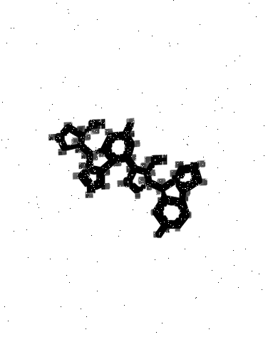 Cc1ccc2c(c1)[C@H]([C@@H]1COC(c3cc(C)cc4c3-c3cncn3[C@@H]4[C@H]3COC[C@@H]3O)[C@H]1O)n1cncc1-2